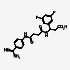 N=C(N)c1ccc(NC(=O)CCC(=O)NC(CC(=O)O)c2cc(F)cc(F)c2)cc1